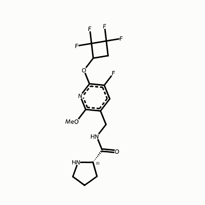 COc1nc(OC2CC(F)(F)C2(F)F)c(F)cc1CNC(=O)[C@@H]1CCCN1